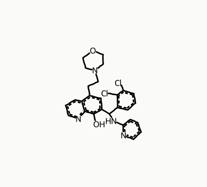 Oc1c(C(Nc2ccccn2)c2cccc(Cl)c2Cl)cc(CCN2CCOCC2)c2cccnc12